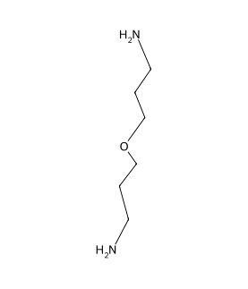 NCCCOCCCN